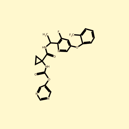 CC(NC(=O)C1(NC(=O)Oc2cncnc2)CC1)c1ncc(Oc2ccccc2C(F)(F)F)cc1F